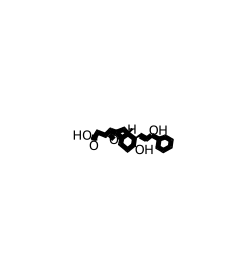 CO[C@]12CC[C@@H](O)[C@H](/C=C/C(O)C3CCCCC3)[C@H]1C/C2=C/CCC(=O)O